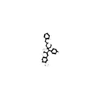 CS(=O)(=O)c1ccc2[nH]c(=O)c(C(c3ccc(Cl)cc3)C3(O)CCNC(Cc4ccccc4)C3)cc2c1